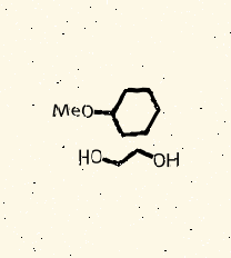 COC1CCCCC1.OCCO